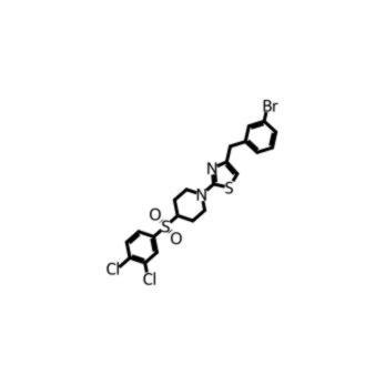 O=S(=O)(c1ccc(Cl)c(Cl)c1)C1CCN(c2nc(Cc3cccc(Br)c3)cs2)CC1